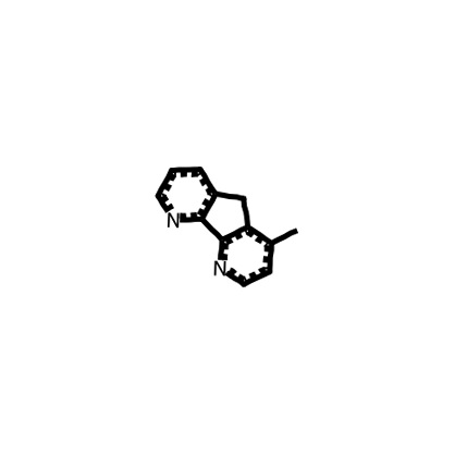 Cc1ccnc2c1Cc1cccnc1-2